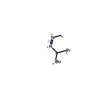 CCC(C)C(/N=N\C)C(C)C